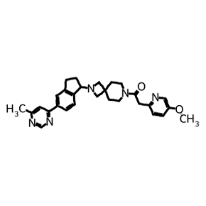 COc1ccc(CC(=O)N2CCC3(CC2)CN(C2CCc4cc(-c5cc(C)ncn5)ccc42)C3)nc1